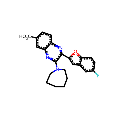 O=C(O)c1ccc2nc(-c3cc4cc(F)ccc4o3)c(N3CCCCCC3)nc2c1